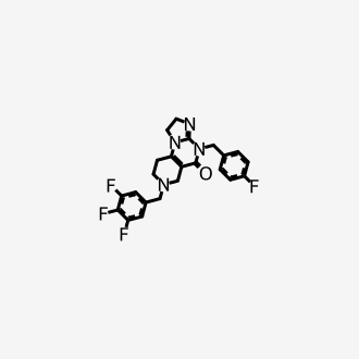 O=C1C2=C(CCN(Cc3cc(F)c(F)c(F)c3)C2)N2CCN=C2N1Cc1ccc(F)cc1